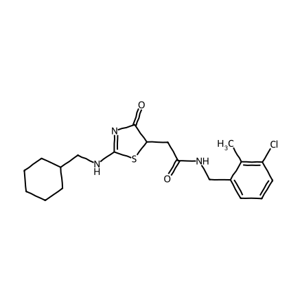 Cc1c(Cl)cccc1CNC(=O)CC1SC(NCC2CCCCC2)=NC1=O